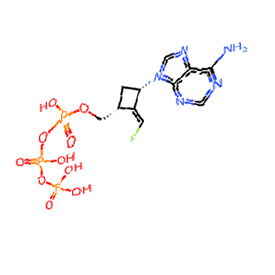 Nc1ncnc2c1ncn2[C@H]1C[C@@H](COP(=O)(O)OP(=O)(O)OP(=O)(O)O)/C1=C\F